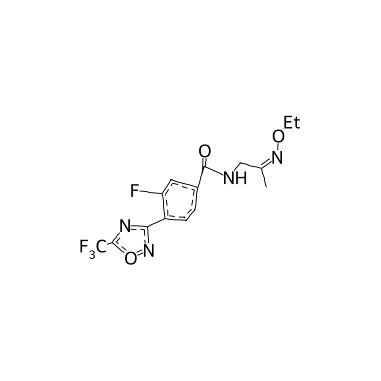 CCO/N=C(/C)CNC(=O)c1ccc(-c2noc(C(F)(F)F)n2)c(F)c1